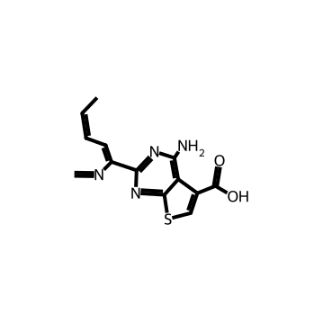 C=N/C(=C\C=C/C)c1nc(N)c2c(C(=O)O)csc2n1